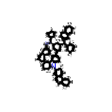 C(=C(\c1ccccc1)c1cc(-c2ccc3c(c2)c2ccccc2n3-c2ccc3c(ccc4ccccc43)c2)cc(C(c2ccccc2)c2ccc3ccccc3c2)c1)/c1ccc2ccccc2c1